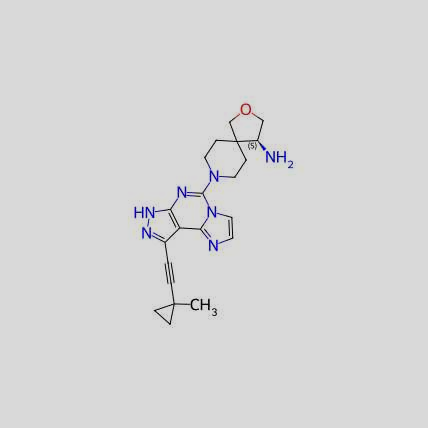 CC1(C#Cc2n[nH]c3nc(N4CCC5(CC4)COC[C@H]5N)n4ccnc4c23)CC1